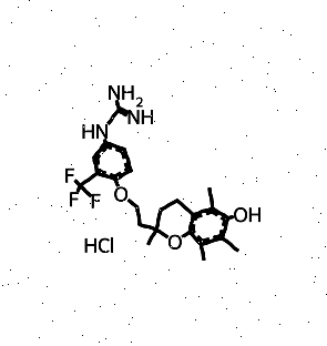 Cc1c(C)c2c(c(C)c1O)CCC(C)(CCOc1ccc(NC(=N)N)cc1C(F)(F)F)O2.Cl